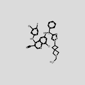 CCN1CC2(CC(n3cc([C@@H](Nc4cc(Cl)c5ncc(C#N)c(Nc6ccc(F)c(Cl)c6)c5c4)c4ccccc4)nn3)C2)C1